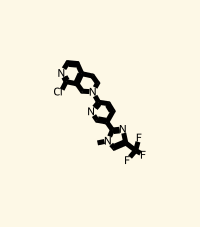 Cn1cc(C(F)(F)F)nc1-c1ccc(N2CCc3ccnc(Cl)c3C2)nc1